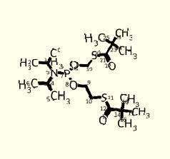 CC(C)N(C(C)C)P(OCCSC(=O)C(C)(C)C)OCSC(=O)C(C)(C)C